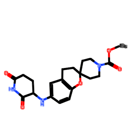 CC(C)(C)OC(=O)N1CCC2(CCc3cc(NC4CCC(=O)NC4=O)ccc3O2)CC1